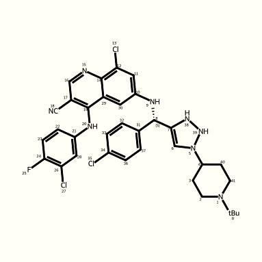 CC(C)(C)N1CCC(N2C=C([C@@H](Nc3cc(Cl)c4ncc(C#N)c(Nc5ccc(F)c(Cl)c5)c4c3)c3ccc(Cl)cc3)NN2)CC1